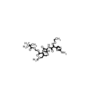 CCON=C(C(=O)NC1C(=O)N2C(C(=O)OCOC(=O)C(C)(C)C)=C(COC)CS[C@@H]12)c1csc(N)n1